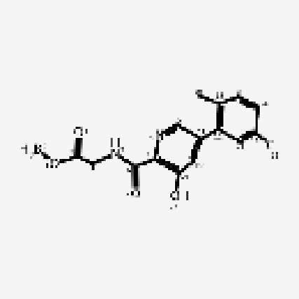 BOC(=O)CNC(=O)c1ncc(-c2cc(Cl)ccc2C)cc1O